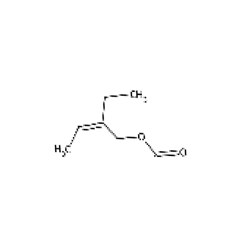 CC=C(CC)CO[C]=O